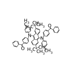 Cc1ccc(N(c2ccc(C(=O)c3ccccc3)cc2)c2c3ccc(C(C)(C)C)cc3c(N(c3ccc(C)cc3)c3ccc(C(=O)c4ccccc4)cc3)c3ccc(C(C)(C)C)cc23)cc1